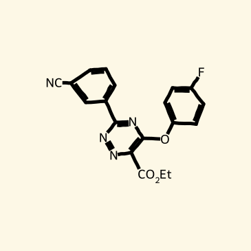 CCOC(=O)c1nnc(-c2cccc(C#N)c2)nc1Oc1ccc(F)cc1